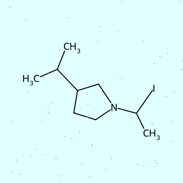 CC(C)C1CCN(C(C)I)C1